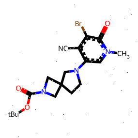 Cn1cc(N2CCC3(CN(C(=O)OC(C)(C)C)C3)C2)c(C#N)c(Br)c1=O